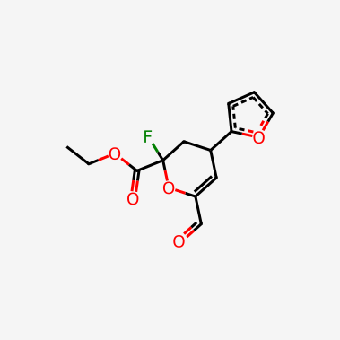 CCOC(=O)C1(F)CC(c2ccco2)C=C(C=O)O1